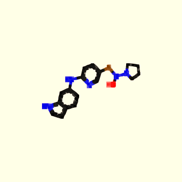 ON(Sc1ccc(Nc2ccc3cc[nH]c3c2)nc1)N1CCCC1